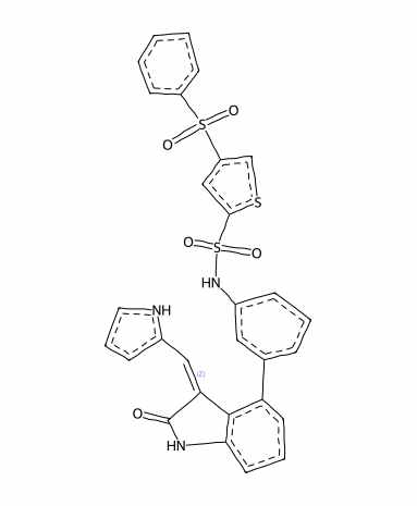 O=C1Nc2cccc(-c3cccc(NS(=O)(=O)c4cc(S(=O)(=O)c5ccccc5)cs4)c3)c2/C1=C/c1ccc[nH]1